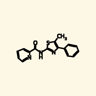 Cc1sc(NC(=O)c2ccccn2)nc1-c1ccccc1